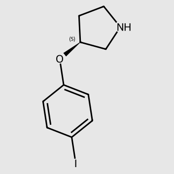 Ic1ccc(O[C@H]2CCNC2)cc1